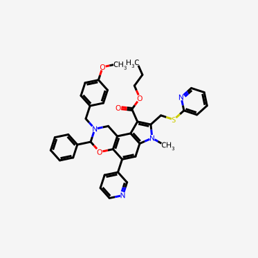 CCCOC(=O)c1c(CSc2ccccn2)n(C)c2cc(-c3cccnc3)c3c(c12)CN(Cc1ccc(OC)cc1)C(c1ccccc1)O3